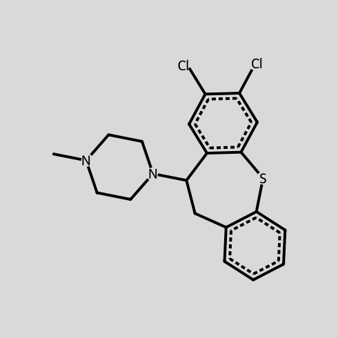 CN1CCN(C2Cc3ccccc3Sc3cc(Cl)c(Cl)cc32)CC1